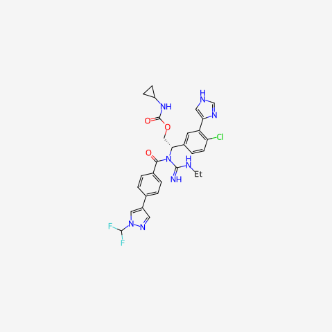 CCNC(=N)N(C(=O)c1ccc(-c2cnn(C(F)F)c2)cc1)[C@H](COC(=O)NC1CC1)c1ccc(Cl)c(-c2c[nH]cn2)c1